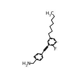 CCCCCCCc1c[c]c(F)c(C#Cc2ccc(CN)cc2)c1